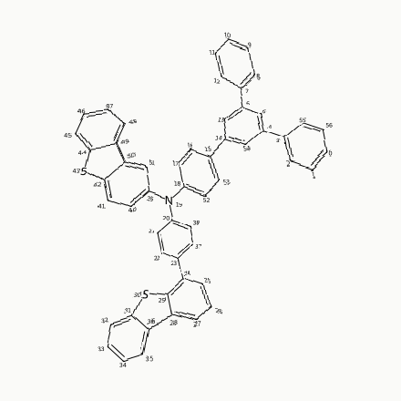 c1ccc(-c2cc(-c3ccccc3)cc(-c3ccc(N(c4ccc(-c5cccc6c5sc5ccccc56)cc4)c4ccc5sc6ccccc6c5c4)cc3)c2)cc1